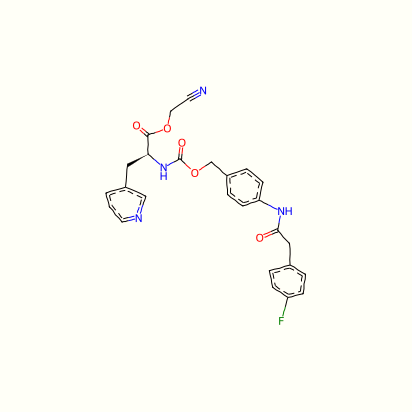 N#CCOC(=O)[C@H](Cc1cccnc1)NC(=O)OCc1ccc(NC(=O)Cc2ccc(F)cc2)cc1